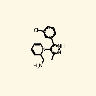 Cc1n[nH]c(-c2cccc(Cl)c2)c1N1C=CC=CC1CN